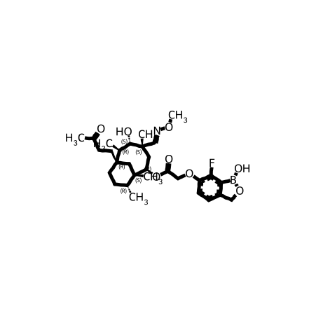 CON=C[C@]1(C)C[C@@H](OC(=O)COc2ccc3c(c2F)B(O)OC3)[C@@]2(C)C[C@](CCC(C)=O)(CC[C@H]2C)[C@@H](C)[C@@H]1O